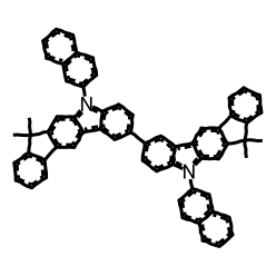 CC1(C)c2ccccc2-c2cc3c4cc(-c5ccc6c(c5)c5cc7c(cc5n6-c5ccc6ccccc6c5)C(C)(C)c5ccccc5-7)ccc4n(-c4ccc5ccccc5c4)c3cc21